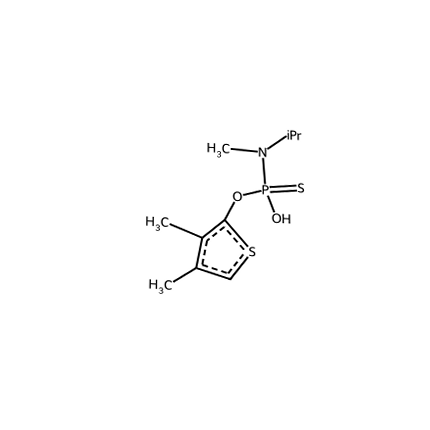 Cc1csc(OP(O)(=S)N(C)C(C)C)c1C